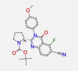 COc1ccc(-n2c([C@H]3CCCN3C(=O)OC(C)(C)C)nc3ccc(C#N)c(F)c3c2=O)cc1